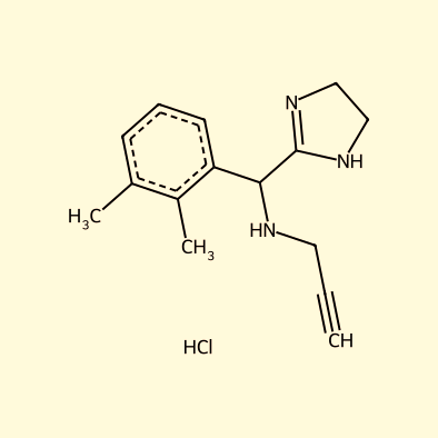 C#CCNC(C1=NCCN1)c1cccc(C)c1C.Cl